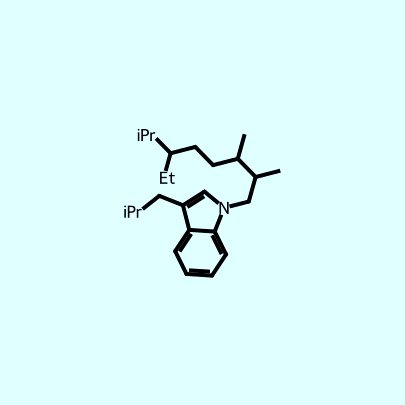 CCC(CCC(C)C(C)Cn1cc(CC(C)C)c2ccccc21)C(C)C